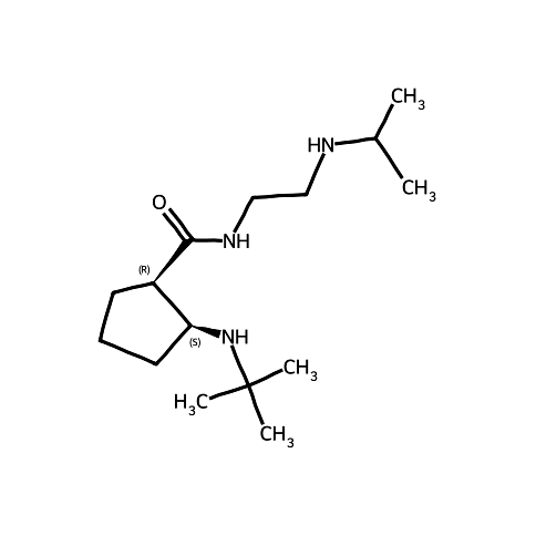 CC(C)NCCNC(=O)[C@@H]1CCC[C@@H]1NC(C)(C)C